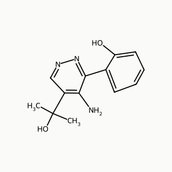 CC(C)(O)c1cnnc(-c2ccccc2O)c1N